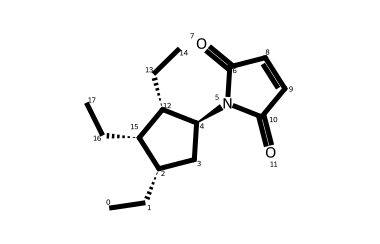 CC[C@H]1C[C@H](N2C(=O)C=CC2=O)[C@@H](CC)[C@H]1CC